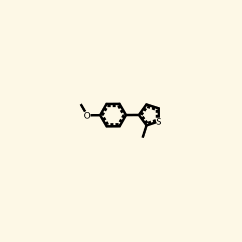 COc1ccc(-c2ccsc2C)cc1